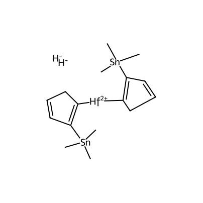 [CH3][Sn]([CH3])([CH3])[C]1=[C]([Hf+2][C]2=[C]([Sn]([CH3])([CH3])[CH3])C=CC2)CC=C1.[H-].[H-]